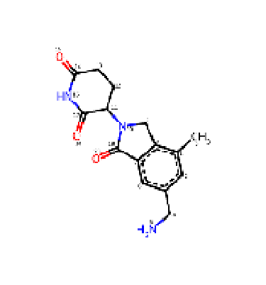 Cc1cc(CN)cc2c1CN(C1CCC(=O)NC1=O)C2=O